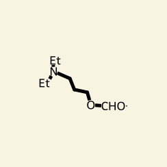 CCN(CC)CCCO[C]=O